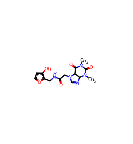 CN1C(=O)C2C(N=CN2CC(=O)NCc2occc2O)N(C)C1=O